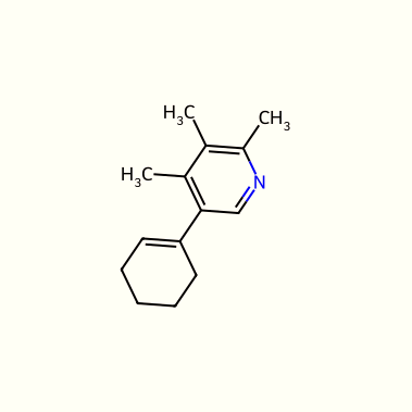 Cc1ncc(C2=CCCCC2)c(C)c1C